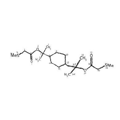 CSCC(=O)OC(C)(C)C1CCC(C(C)(C)OC(=O)CSC)CC1